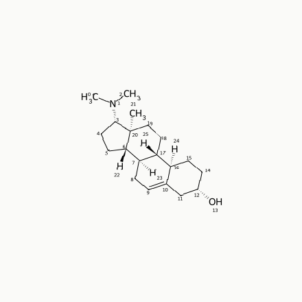 CN(C)[C@H]1CC[C@H]2[C@@H]3CC=C4C[C@@H](O)CC[C@@H]4[C@H]3CC[C@]12C